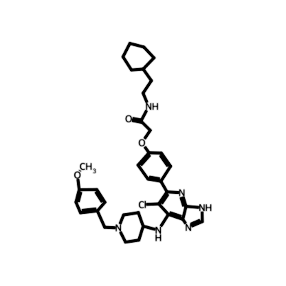 COc1ccc(CN2CCC(Nc3c(Cl)c(-c4ccc(OCC(=O)NCCC5CCCCC5)cc4)nc4[nH]cnc34)CC2)cc1